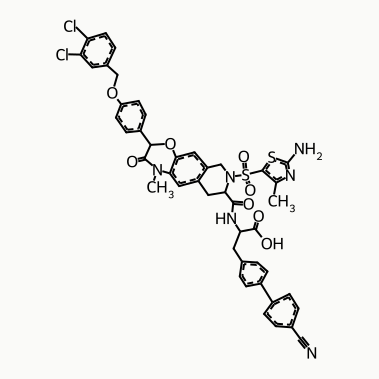 Cc1nc(N)sc1S(=O)(=O)N1Cc2cc3c(cc2CC1C(=O)NC(Cc1ccc(-c2ccc(C#N)cc2)cc1)C(=O)O)N(C)C(=O)C(c1ccc(OCc2ccc(Cl)c(Cl)c2)cc1)O3